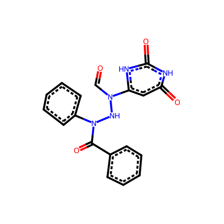 O=CN(NN(C(=O)c1ccccc1)c1ccccc1)c1cc(=O)[nH]c(=O)[nH]1